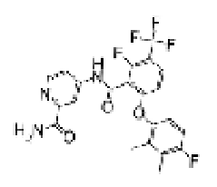 Cc1c(F)ccc(Oc2ccc(C(F)(F)F)c(F)c2C(=O)Nc2ccnc(C(N)=O)c2)c1C